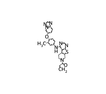 C=CC(=O)N1CCc2c(sc3ncnc(Nc4ccc(Oc5ccc6ncnn6c5)c(C)c4)c23)C1